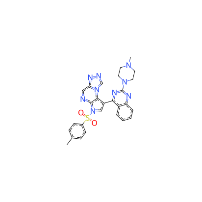 Cc1ccc(S(=O)(=O)n2cc(-c3nc(N4CCN(C)CC4)nc4ccccc34)c3c2ncc2nncn23)cc1